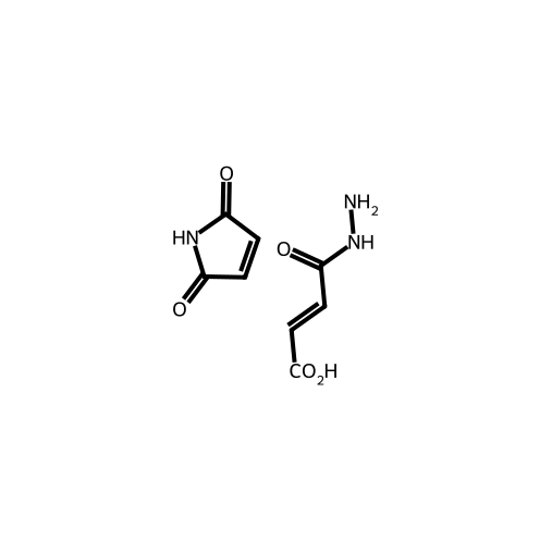 NNC(=O)C=CC(=O)O.O=C1C=CC(=O)N1